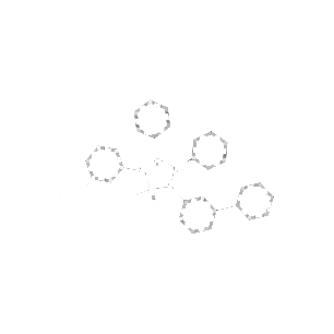 Cc1cccc(N2[C@H](c3ccccc3)[C@@H](c3ccccc3)N(c3cccc(-c4ccccc4)c3)P2(=O)O)c1